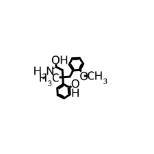 COc1ccccc1CC(C)(C[C@H](N)O)c1ccccc1O